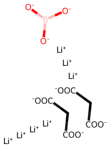 O=C([O-])CC(=O)[O-].O=C([O-])CC(=O)[O-].[Li+].[Li+].[Li+].[Li+].[Li+].[Li+].[Li+].[O-]B([O-])[O-]